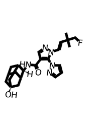 CC(C)(/C=C/n1ncc(C(=O)N[C@H]2C3CC4CC2C[C@](O)(C4)C3)c1-n1cccn1)CF